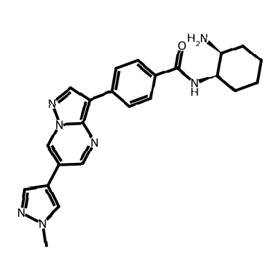 Cn1cc(-c2cnc3c(-c4ccc(C(=O)N[C@@H]5CCCC[C@@H]5N)cc4)cnn3c2)cn1